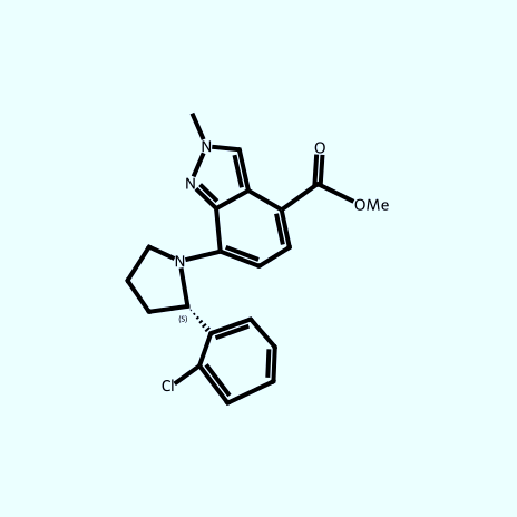 COC(=O)c1ccc(N2CCC[C@H]2c2ccccc2Cl)c2nn(C)cc12